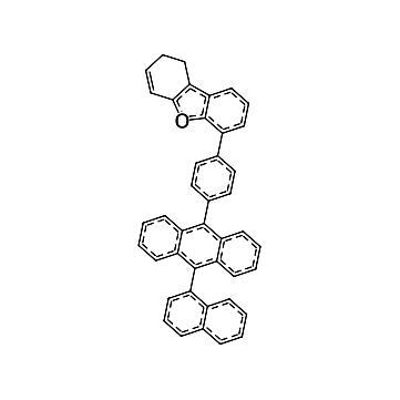 C1=Cc2oc3c(-c4ccc(-c5c6ccccc6c(-c6cccc7ccccc67)c6ccccc56)cc4)cccc3c2CC1